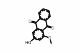 COc1cc(O)cc2c1C(=O)c1ccccc1C2=O